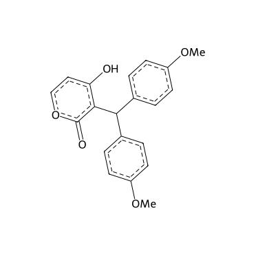 COc1ccc(C(c2ccc(OC)cc2)c2c(O)ccoc2=O)cc1